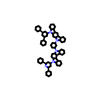 c1ccc(-c2cc(-c3ccccc3)cc(-n3c4ccccc4c4cc5c6ccccc6n(-c6cccc(-n7c8ccccc8c8c9c%10ccccc%10n(-c%10cc(-c%11ccccc%11)nc(-c%11ccccc%11)c%10)c9ccc87)c6)c5cc43)c2)cc1